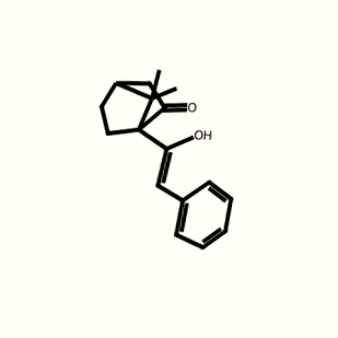 CC1(C)C2CCC1(C(O)=Cc1ccccc1)C(=O)C2